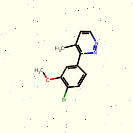 COc1cc(-c2nnccc2C)ccc1Br